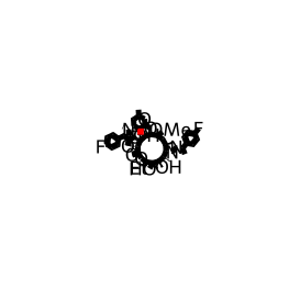 CC[C@H]1OC(=O)[C@H](C)[C@@H](OC(=O)Cc2ccc(F)cc2)[C@H](C)[C@@H](OC2OC(C)CC(N(C)C)C2O)[C@](C)(OC)C[C@@H](C)/C(=N\N=C(/C)c2ccc(F)cc2)[C@H](C)[C@@H](O)[C@]1(C)O